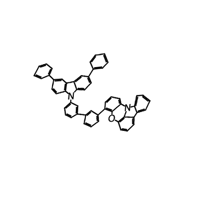 c1ccc(-c2ccc3c(c2)c2cc(-c4ccccc4)ccc2n3-c2cccc(-c3cccc(-c4cccc5c4Oc4cccc6c7ccccc7n-5c46)c3)c2)cc1